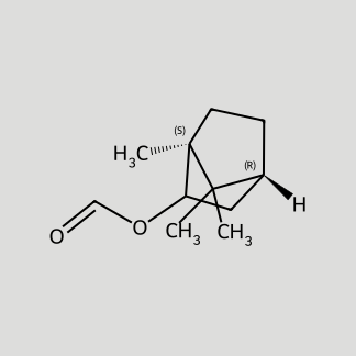 CC1(C)[C@@H]2CC[C@]1(C)C(OC=O)C2